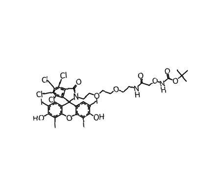 CC(C)(C)OC(=O)NOCC(=O)NCCOCCOCCN1C(=O)c2c(Cl)c(Cl)c(Cl)c(Cl)c2C12c1cc(I)c(O)c(I)c1Oc1c2cc(I)c(O)c1I